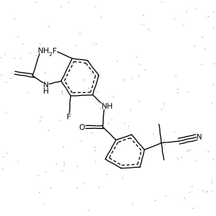 C=C(N)Nc1c(F)ccc(NC(=O)c2cccc(C(C)(C)C#N)c2)c1F